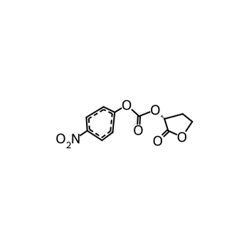 O=C(Oc1ccc([N+](=O)[O-])cc1)O[C@@H]1CCOC1=O